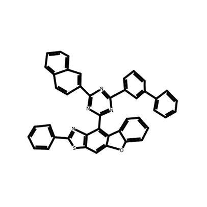 c1ccc(-c2cccc(-c3nc(-c4ccc5ccccc5c4)nc(-c4c5nc(-c6ccccc6)sc5cc5oc6ccccc6c45)n3)c2)cc1